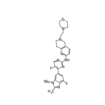 Cc1nc2c(F)cc(-c3nc(Nc4ccc5c(n4)CCN(CCN4CCOCC4)C5)ncc3F)cc2n1C(C)(C)C